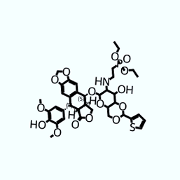 CCOP(=O)(CCNC1C(O[C@@H]2c3cc4c(cc3[C@@H](c3cc(OC)c(O)c(OC)c3)[C@H]3C(=O)OC[C@@H]32)OCO4)OC2COC(c3cccs3)OC2C1O)OCC